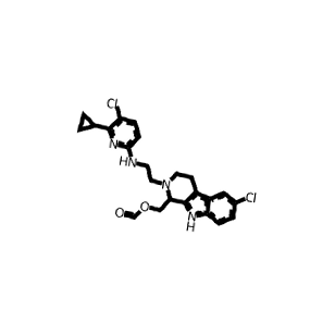 O=COCC1c2[nH]c3ccc(Cl)cc3c2CCN1CCNc1ccc(Cl)c(C2CC2)n1